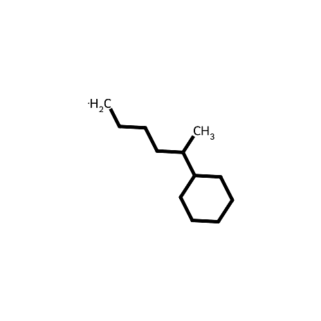 [CH2]CCCC(C)C1CCCCC1